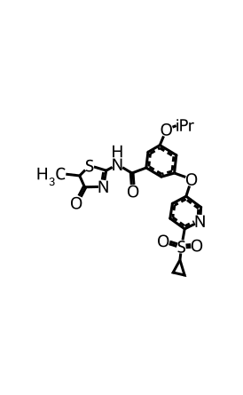 CC(C)Oc1cc(Oc2ccc(S(=O)(=O)C3CC3)nc2)cc(C(=O)NC2=NC(=O)C(C)S2)c1